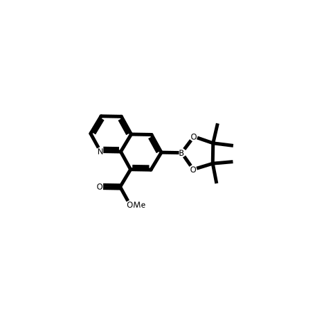 COC(=O)c1cc(B2OC(C)(C)C(C)(C)O2)cc2cccnc12